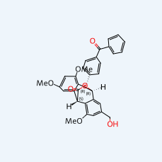 COc1cc(OC)c2c(c1)[C@@H]1C(=O)O[C@@H](c3cc(CO)cc(OC)c31)[C@@H]2c1ccc(C(=O)c2ccccc2)cc1